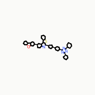 c1ccc(-c2nc(-c3ccccc3)nc(-c3ccc(-c4ccc(-c5nc6ccc(-c7ccc8c(c7)oc7ccccc78)cc6c6c5sc5ccccc56)cc4)cc3)n2)cc1